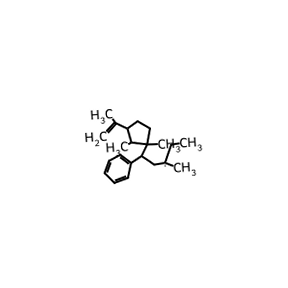 C=C(C)C1CCC(C)(C(C[C](C)CC)c2ccccc2)C1C